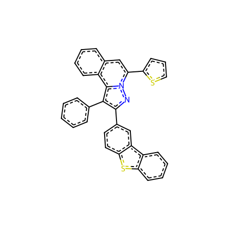 c1ccc(-c2c(-c3ccc4sc5ccccc5c4c3)nn3c(-c4cccs4)cc4ccccc4c23)cc1